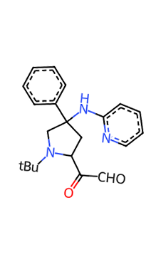 CC(C)(C)N1CC(Nc2ccccn2)(c2ccccc2)CC1C(=O)C=O